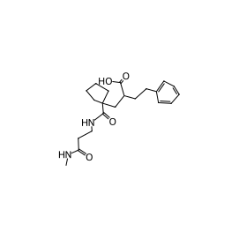 CNC(=O)CCNC(=O)C1(CC(CCc2ccccc2)C(=O)O)CCCC1